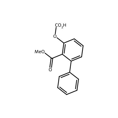 COC(=O)c1c(OC(=O)O)cccc1-c1ccccc1